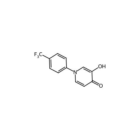 O=c1ccn(-c2ccc(C(F)(F)F)cc2)cc1O